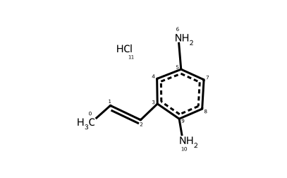 CC=Cc1cc(N)ccc1N.Cl